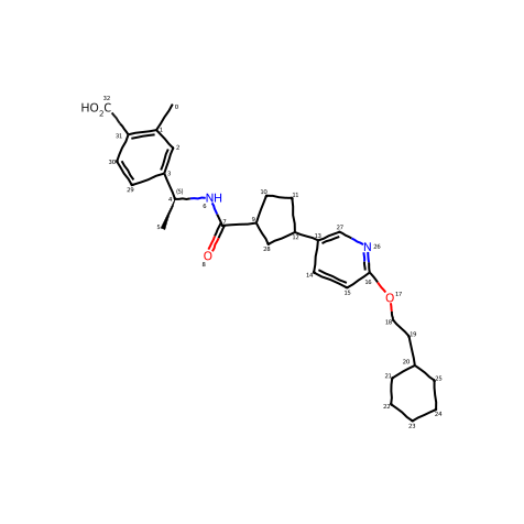 Cc1cc([C@H](C)NC(=O)C2CCC(c3ccc(OCCC4CCCCC4)nc3)C2)ccc1C(=O)O